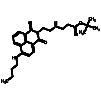 CCCCNc1ccc2c3c(cccc13)C(=O)N(CCNCCC(=O)OC(C)(C)C)C2=O